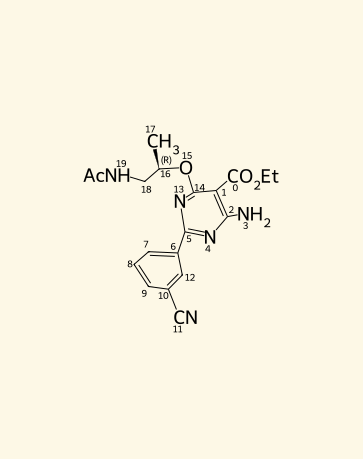 CCOC(=O)c1c(N)nc(-c2cccc(C#N)c2)nc1O[C@H](C)CNC(C)=O